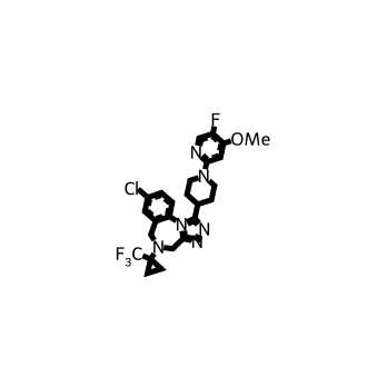 COc1cc(N2CCC(c3nnc4n3-c3ccc(Cl)cc3CN(C3(C(F)(F)F)CC3)C4)CC2)ncc1F